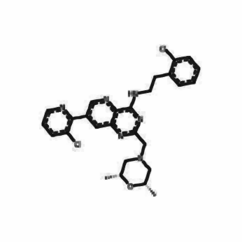 C[C@@H]1CN(Cc2nc(NCCc3ccccc3Cl)c3ncc(-c4ncccc4Cl)cc3n2)C[C@H](C)O1